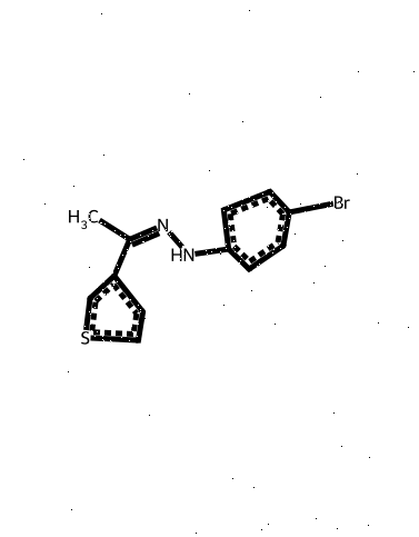 CC(=NNc1ccc(Br)cc1)c1ccsc1